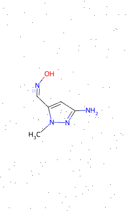 Cn1nc(N)cc1/C=N\O